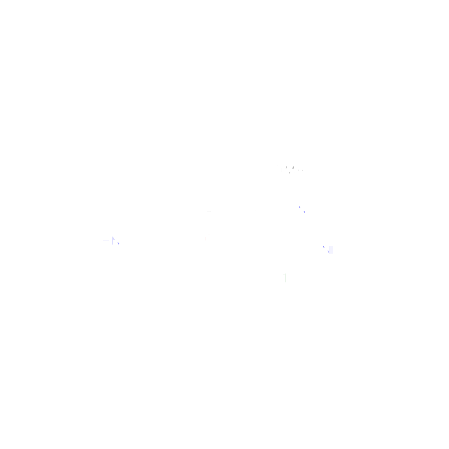 COc1nc(N)c(Cl)cc1CC(=O)CC1CCNCC1